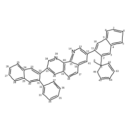 CC1(c2cc3ccccc3cc2-c2cnc3c(ccc4cc(-c5cc6ccccc6cc5-c5ccccc5)cnc43)c2)C=CC=CC1